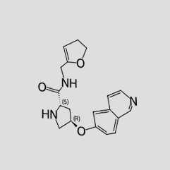 O=C(NCC1=CCCO1)[C@@H]1C[C@@H](Oc2ccc3cnccc3c2)CN1